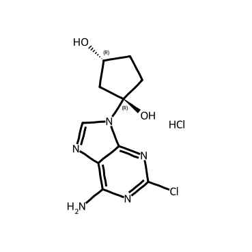 Cl.Nc1nc(Cl)nc2c1ncn2[C@@]1(O)CC[C@@H](O)C1